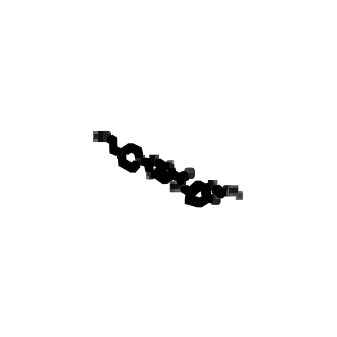 Cc1nc2cc(NC(=O)c3cc4sc(N5CCN(CCO)CC5)nc4s3)ccc2o1